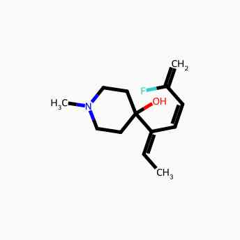 C=C(F)/C=C\C(=C/C)C1(O)CCN(C)CC1